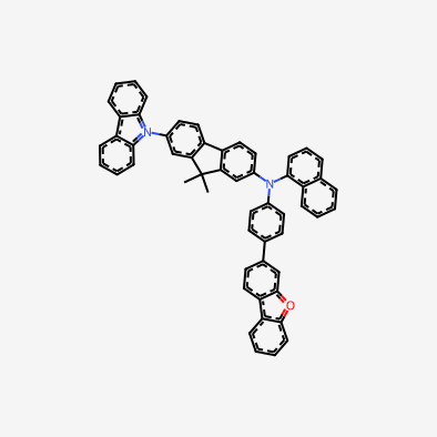 CC1(C)c2cc(N(c3ccc(-c4ccc5c(c4)oc4ccccc45)cc3)c3cccc4ccccc34)ccc2-c2ccc(-n3c4ccccc4c4ccccc43)cc21